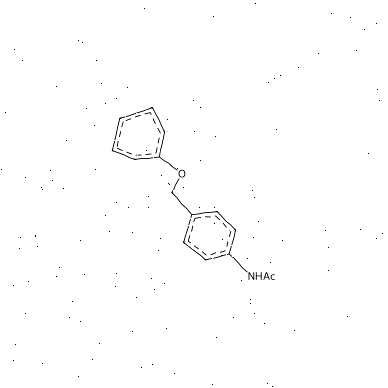 CC(=O)Nc1ccc(COc2[c]cccc2)cc1